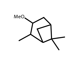 [CH2]OC1CC2CC(C1C)C2(C)C